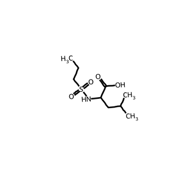 CCCS(=O)(=O)NC(CC(C)C)C(=O)O